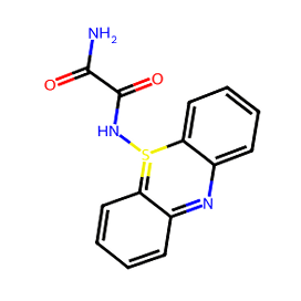 NC(=O)C(=O)NS1=c2ccccc2=Nc2ccccc21